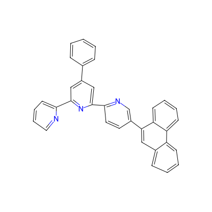 c1ccc(-c2cc(-c3ccccn3)nc(-c3ccc(-c4cc5ccccc5c5ccccc45)cn3)c2)cc1